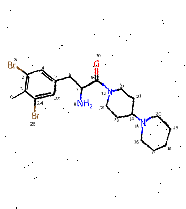 Cc1c(Br)cc(CC(N)C(=O)N2CCC(N3CCCCC3)CC2)cc1Br